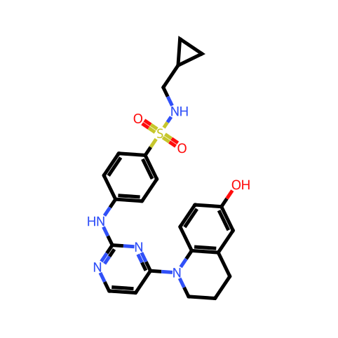 O=S(=O)(NCC1CC1)c1ccc(Nc2nccc(N3CCCc4cc(O)ccc43)n2)cc1